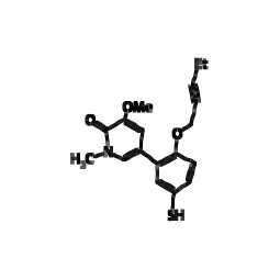 CCC#CCOc1ccc(S)cc1-c1cc(OC)c(=O)n(C)c1